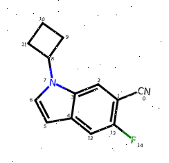 N#Cc1cc2c(ccn2C2CCC2)cc1F